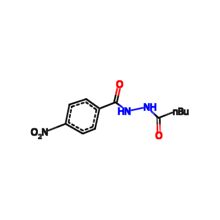 CCCCC(=O)NNC(=O)c1ccc([N+](=O)[O-])cc1